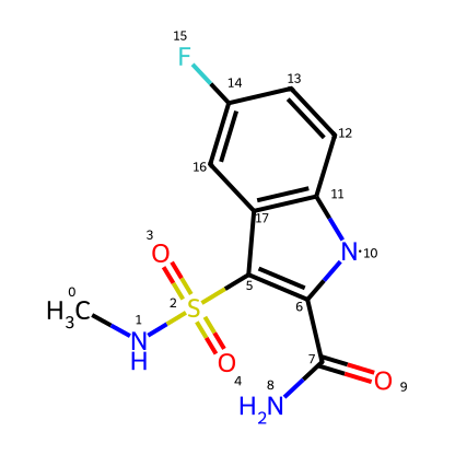 CNS(=O)(=O)C1=C(C(N)=O)[N]c2ccc(F)cc21